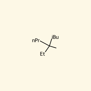 [CH2]CC(C)C(C)(CC)CCC